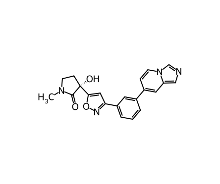 CN1CC[C@@](O)(c2cc(-c3cccc(-c4ccn5cncc5c4)c3)no2)C1=O